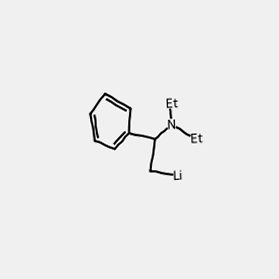 [Li][CH2]C(c1ccccc1)N(CC)CC